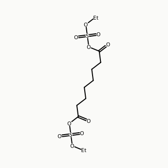 CCOS(=O)(=O)OC(=O)CCCCCCC(=O)OS(=O)(=O)OCC